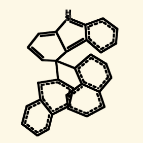 C1=CC(c2ccc3ccccc3c2)(c2cccc3ccccc23)C2=c3ccccc3=[SiH]C2=C1